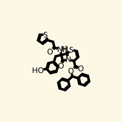 O=C(Cc1cccs1)NC1(Cc2cccc(O)c2)C(=O)N2C(C(=O)OC(c3ccccc3)c3ccccc3)C=CS[C@H]21